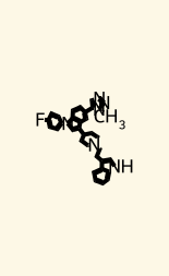 Cn1nncc1-c1ccc2c(c1)c(C1CCN(CCc3c[nH]c4ccccc34)CC1)cn2-c1ccc(F)cc1